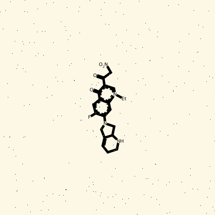 CCn1cc(C(=O)C[N+](=O)[O-])c(=O)c2cc(F)c(N3CC4=CCCNC4C3)cc21